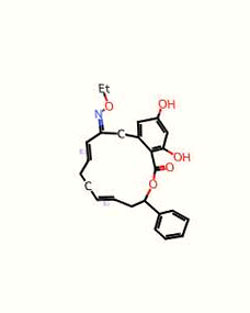 CCON=C1/C=C/CC/C=C/CC(c2ccccc2)OC(=O)c2c(O)cc(O)cc2C1